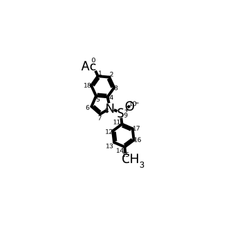 CC(=O)c1ccc2c(ccn2[S+]([O-])c2ccc(C)cc2)c1